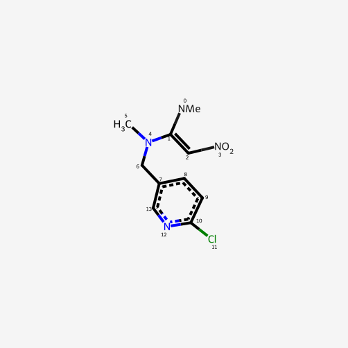 CNC(=C[N+](=O)[O-])N(C)Cc1ccc(Cl)nc1